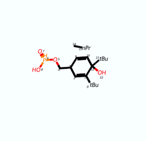 CC(C)(C)C1=CC(CO[PH](=O)O)C=CC1(O)C(C)(C)C.CCCC